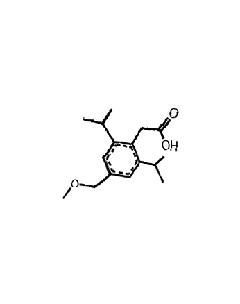 COCc1cc(C(C)C)c(CC(=O)O)c(C(C)C)c1